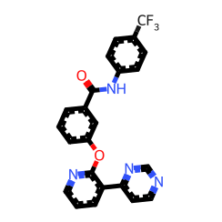 O=C(Nc1ccc(C(F)(F)F)cc1)c1cccc(Oc2ncccc2-c2ccncn2)c1